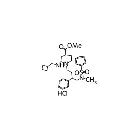 COC(=O)C1CCN(CCC(CN(C)S(=O)(=O)c2ccccc2)c2ccccc2)C(NCC2CCC2)C1.Cl